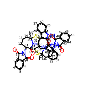 O=C1c2ccccc2C(=O)N1[C@H]1CCC[C@H]2SCC(Cc3c(-c4[nH]c5ccccc5c4C[C@@H]4CS[C@@H]5CCC[C@H](N6C(=O)c7ccccc7C6=O)C(=O)N45)[nH]c4ccccc34)N2C1=O